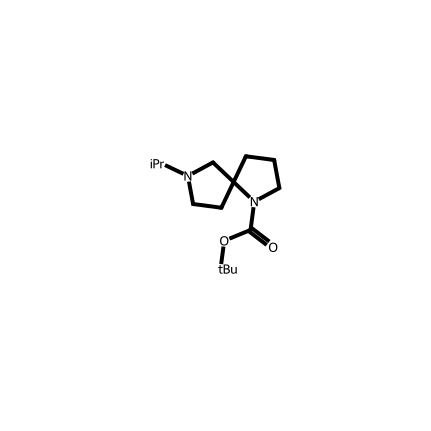 CC(C)N1CCC2(CCCN2C(=O)OC(C)(C)C)C1